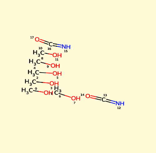 CO.CO.CO.CO.CO.CO.N=C=O.N=C=O